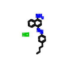 CCCCc1ccc(/N=N/c2ccc(N)c3ccccc23)cc1.Cl